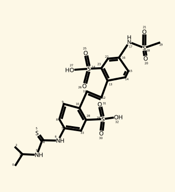 CC(C)NC(=S)Nc1ccc(C=Cc2ccc(NS(C)(=O)=O)cc2S(=O)(=O)O)c(S(=O)(=O)O)c1